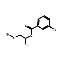 CCOCC(OC(=O)c1cccc(Cl)c1)C(C)(C)C